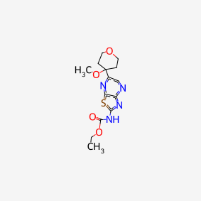 CCOC(=O)Nc1nc2ncc(C3(OC)CCOCC3)nc2s1